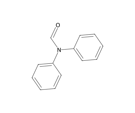 O=CN(c1ccccc1)c1ccccc1